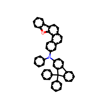 c1ccc(N(c2ccc3c(c2)C(c2ccccc2)(c2ccccc2)c2ccccc2-3)c2ccc3c(ccc4ccc5c6ccccc6oc5c43)c2)cc1